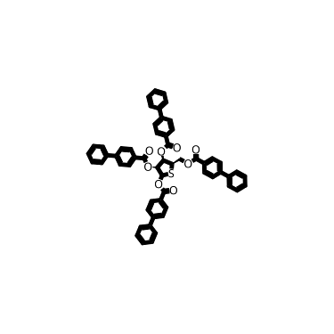 O=C(OC[C@H]1SC(OC(=O)c2ccc(-c3ccccc3)cc2)[C@H](OC(=O)c2ccc(-c3ccccc3)cc2)[C@H]1OC(=O)c1ccc(-c2ccccc2)cc1)c1ccc(-c2ccccc2)cc1